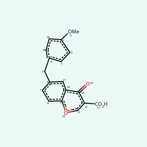 COc1ccc(Cc2ccc3occ(C(=O)O)c(=O)c3c2)cc1